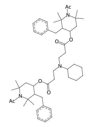 CC(=O)N1C(C)(C)CC(OC(=O)CCN(CCC(=O)OC2CC(C)(C)N(C(C)=O)C(C)(C)C2Cc2ccccc2)C2CCCCC2)C(Cc2ccccc2)C1(C)C